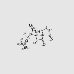 C[C@H](C(=O)N1CCSC1=S)[C@H]1NC(=O)[C@@H]1[C@@H](C)O[Si](C)(C)C(C)(C)C